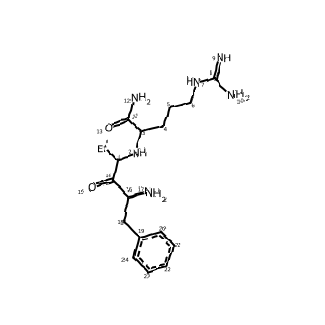 CCC(NC(CCCNC(=N)N)C(N)=O)C(=O)C(N)Cc1ccccc1